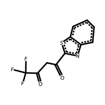 O=C(CC(=O)C(F)(F)F)c1nc2ccccc2s1